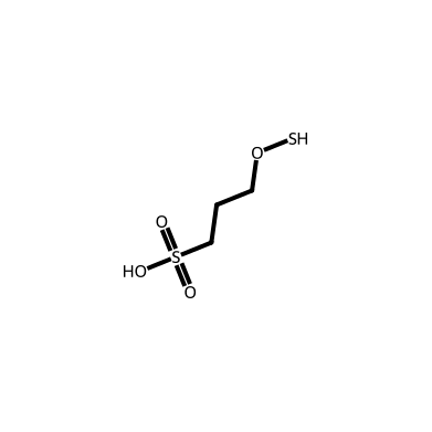 O=S(=O)(O)CCCOS